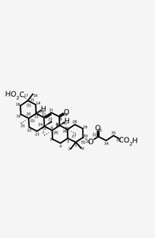 CC1(C)C2CC[C@]3(C)[C@H](C(=O)C=C4[C@H]5C[C@@](C)(C(=O)O)CC[C@]5(C)CC[C@]43C)[C@@]2(C)CC[C@@H]1OC(=O)CCC(=O)O